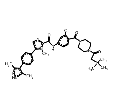 Cc1n[nH]c(C)c1-c1ccc(-c2cnc(C(=O)Nc3ccc(C(=O)N4CCN(C(=O)C[N+](C)(C)C)CC4)c(Cl)c3)n2C)cc1